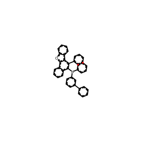 c1ccc(-c2cccc(N(c3ccccc3)c3c(-c4ccccc4)c4c5ccccc5oc4c4ccccc34)c2)cc1